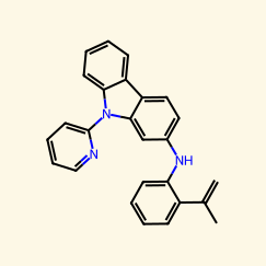 C=C(C)c1ccccc1Nc1ccc2c3ccccc3n(-c3ccccn3)c2c1